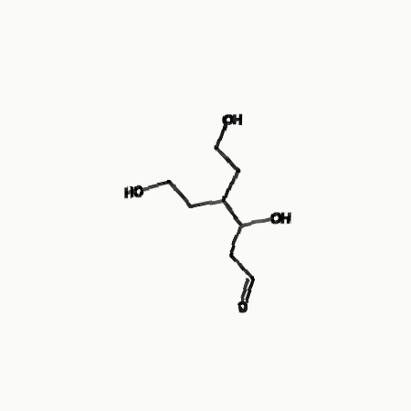 O=CCC(O)[C](CCO)CCO